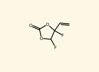 C=CC1(F)OC(=O)OC1F